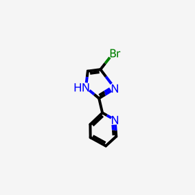 Brc1c[nH]c(-c2ccccn2)n1